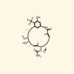 CO[C@H]1C[C@H](C)Cc2cc(cc(O)c2C(F)(F)F)NC(=O)/C(C)=C/CC[C@H](C=O)[C@@H](OC(N)=O)/C(C)=C/[C@H](C)[C@H]1O